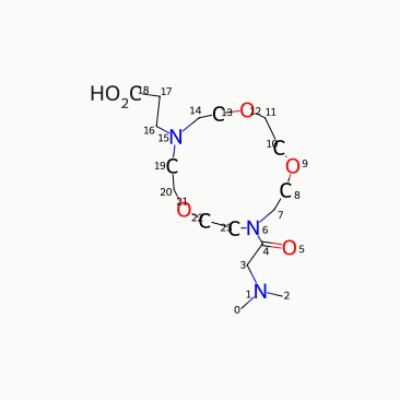 CN(C)CC(=O)N1CCOCCOCCN(CCC(=O)O)CCOCC1